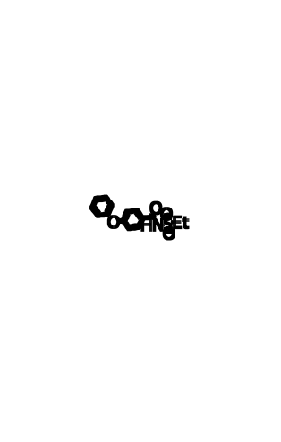 CCS(=O)(=O)NC(=O)c1ccc(Oc2ccccc2)cc1